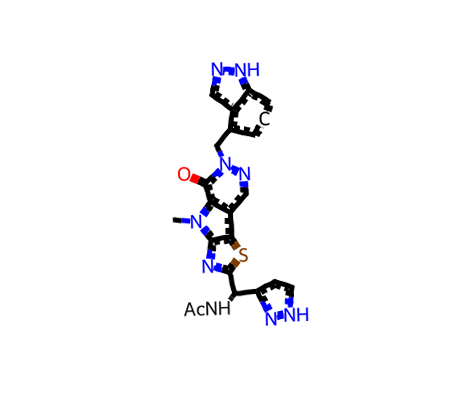 CC(=O)NC(c1cc[nH]n1)c1nc2c(s1)c1cnn(Cc3cccc4[nH]ncc34)c(=O)c1n2C